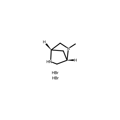 Br.Br.CN1C[C@@H]2C[C@H]1CN2